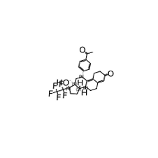 CC(=O)c1ccc([C@H]2C[C@@]3(C)[C@@H](CC[C@@]3(O)C(F)(F)C(F)(F)F)[C@H]3CCC4=CC(=O)CCC4=C23)cc1